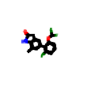 Cc1cc(-c2c(F)cccc2OC(F)F)cc2c1NC(=O)C2